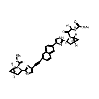 COC(=O)NC(C(=O)N1[C@@H]2C[C@@H]2C[C@H]1c1nc(-c2ccc3cc(C#Cc4c[nH]c(C5C[C@H]6C[C@H]6N5C(=O)OC(C)(C)C)n4)ccc3c2)c[nH]1)C(C)C